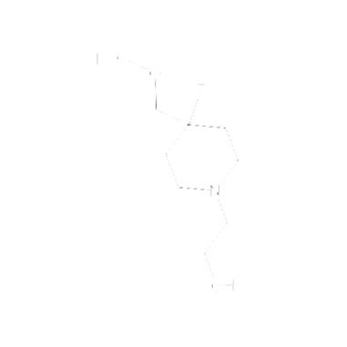 COCC1(F)CCN(CCO)CC1